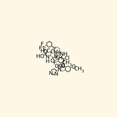 COc1ccc(CN(c2ccncn2)S(=O)(=O)c2cc(Cl)c(N[C@H]3CC[C@H](c4cccc(C(F)(F)F)c4)C[C@@H]3N(C)C(=O)C(NC(=O)O)C(C)C)cc2F)c(OC)c1